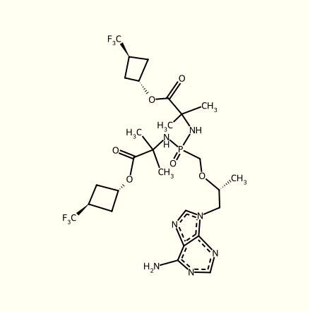 C[C@H](Cn1cnc2c(N)ncnc21)OCP(=O)(NC(C)(C)C(=O)O[C@H]1C[C@H](C(F)(F)F)C1)NC(C)(C)C(=O)O[C@H]1C[C@H](C(F)(F)F)C1